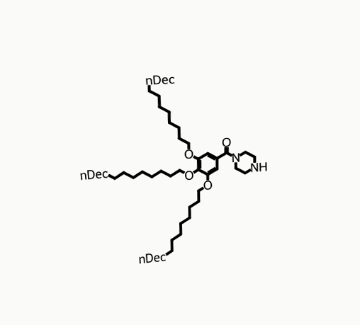 CCCCCCCCCCCCCCCCCCOc1cc(C(=O)N2CCNCC2)cc(OCCCCCCCCCCCCCCCCCC)c1OCCCCCCCCCCCCCCCCCC